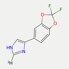 [2H]c1nc(-c2ccc3c(c2)OC(F)(F)O3)c[nH]1